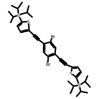 CC(C)S(c1ccc(C#Cc2cc(Br)c(C#Cc3ccc(S(C(C)C)(C(C)C)C(C)C)s3)cc2Br)s1)(C(C)C)C(C)C